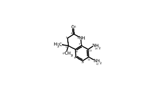 CC1(C)CC(=O)Nc2c1ccc(N)c2N